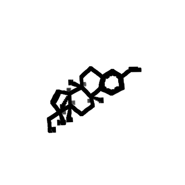 CC[C@]12CC[C@@H]3c4ccc(OC)cc4CC[C@H]3[C@@H]1C=C[C@@]2(O)CC#N